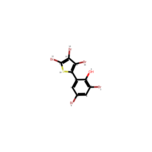 Oc1c(Br)cc(Br)cc1-c1sc(Br)c(Br)c1Br